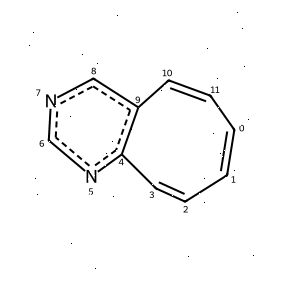 C1=CC=Cc2ncncc2C=C1